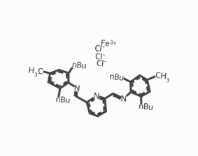 CCCCc1cc(C)cc(CCCC)c1N=Cc1cccc(C=Nc2c(CCCC)cc(C)cc2CCCC)n1.[Cl-].[Cl-].[Cl-].[Fe+3]